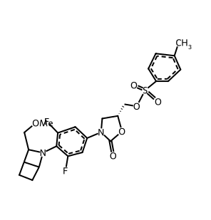 COCC1C2CCC2N1c1c(F)cc(N2C[C@H](COS(=O)(=O)c3ccc(C)cc3)OC2=O)cc1F